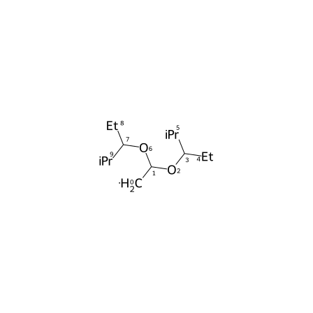 [CH2]C(OC(CC)C(C)C)OC(CC)C(C)C